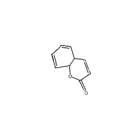 O=C1C=CC2C=CC=CC2O1